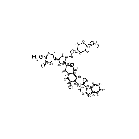 CN1CCN([C@H]2C[C@@H](CO[C@H]3CC[C@H](C)CC3)N(C(=O)Cc3cc(Cl)c(NC(=O)c4coc5ccccc45)cc3Cl)C2)CC1=O